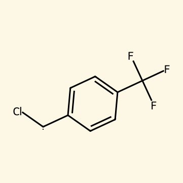 FC(F)(F)c1ccc([CH]Cl)cc1